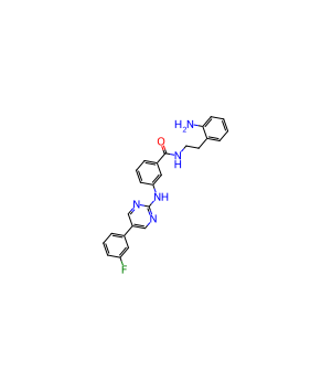 Nc1ccccc1CCNC(=O)c1cccc(Nc2ncc(-c3cccc(F)c3)cn2)c1